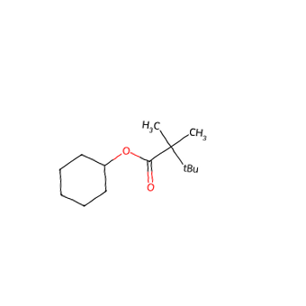 CC(C)(C)C(C)(C)C(=O)OC1CCCCC1